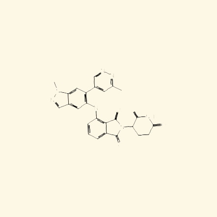 Cc1cc(-c2cc3c(cnn3C)cc2Nc2cccc3c2C(=O)N(C2CCC(=O)NC2=O)C3=O)cnn1